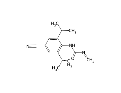 C=NC(=O)Nc1c(C(C)C)cc(C#N)cc1C(C)C